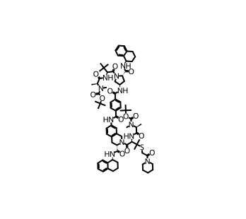 C[C@@H](C(=O)N[C@H](C(=O)N1C[C@@H](NC(=O)c2ccc(C(=O)Nc3ccc4c(c3)CN(C(=O)[C@@H](NC(=O)[C@H](C)N(C)C(=O)OC(C)(C)C)C(C)(C)SCC(=O)N3CCCCC3)[C@H](C(=O)N[C@@H]3CCCc5ccccc53)C4)cc2)C[C@H]1C(=O)N[C@@H]1CCCc2ccccc21)C(C)(C)C)N(C)C(=O)OC(C)(C)C